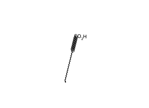 C#CCCCCCCCCCCCCCCCCCCCCCCCCCCCOOOOOOOOOOOOOC(=O)O